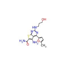 Cc1ccc(-c2nc(NCCCO)nc3sc(C(N)=O)c(N)c23)o1